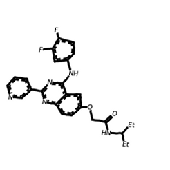 CCC(CC)NC(=O)COc1ccc2nc(-c3cccnc3)nc(Nc3ccc(F)c(F)c3)c2c1